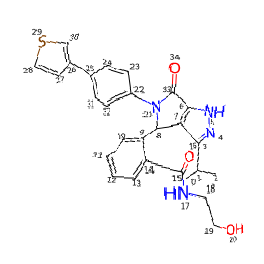 CC(C)c1n[nH]c2c1C(c1ccccc1C(=O)NCCO)N(c1ccc(-c3ccsc3)cc1)C2=O